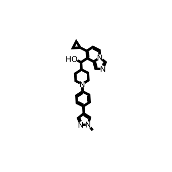 Cn1cc(-c2ccc(N3CCC(C(O)c4c(C5CC5)ccn5cncc45)CC3)cc2)cn1